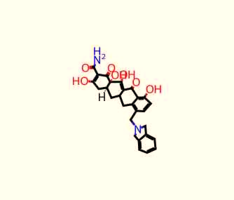 NC(=O)C1=C(O)C[C@@H]2CC3Cc4c(CN5Cc6ccccc6C5)ccc(O)c4C(=O)C3=C(O)[C@]2(O)C1=O